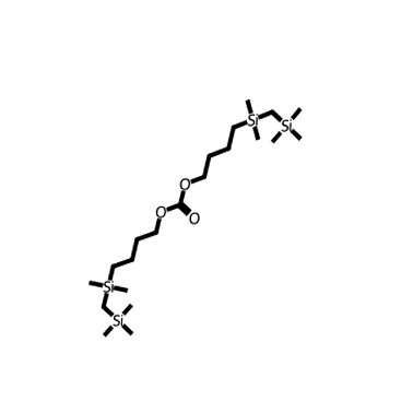 C[Si](C)(C)C[Si](C)(C)CCCCOC(=O)OCCCC[Si](C)(C)C[Si](C)(C)C